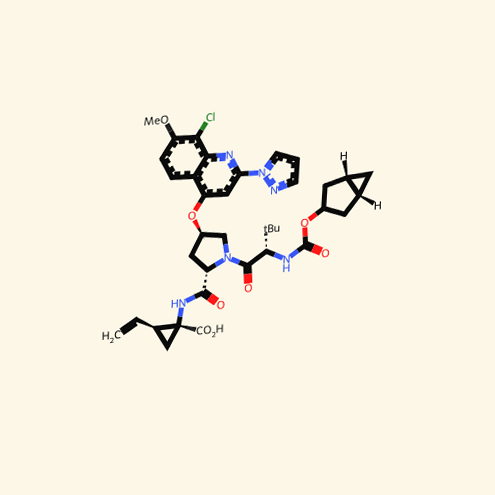 C=C[C@@H]1C[C@]1(NC(=O)[C@@H]1C[C@@H](Oc2cc(-n3cccn3)nc3c(Cl)c(OC)ccc23)CN1C(=O)[C@@H](NC(=O)OC1C[C@@H]2C[C@@H]2C1)C(C)(C)C)C(=O)O